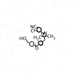 Cc1nn(-c2ccc(C#N)c(Cl)c2)c(C)c1Cc1ccc(C(=O)N2CCC(CCO)CC2)cc1